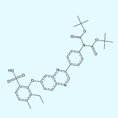 CCc1c(C)ccc(S(=O)(=O)O)c1Oc1ccc2ncc(-c3ccc(N(C(=O)OC(C)(C)C)C(=O)OC(C)(C)C)cc3)nc2c1